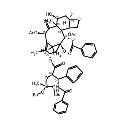 CC(=O)O[C@H]1C(=O)[C@@]2(C)[C@H]([C@H](OC(=O)c3ccccc3)[C@]3(O)C[C@H](OC(=O)[C@H](O[Si](C)(OC(C)(C)C)OC(C)(C)C)[C@@H](NC(=O)c4ccccc4)c4ccccc4)C(C)=C1C3(C)C)[C@]1(OC(C)=O)CO[C@@H]1C[C@@H]2O